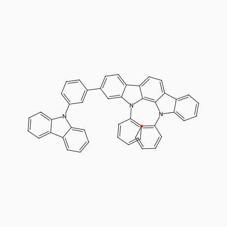 c1ccc(-n2c3ccccc3c3ccc4c5ccc(-c6cccc(-n7c8ccccc8c8ccccc87)c6)cc5n(-c5ccccc5)c4c32)cc1